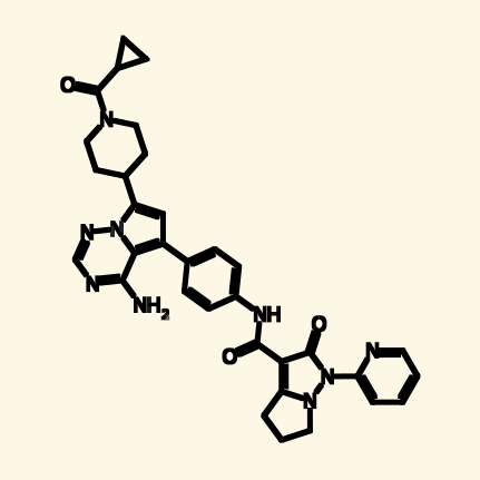 Nc1ncnn2c(C3CCN(C(=O)C4CC4)CC3)cc(-c3ccc(NC(=O)c4c5n(n(-c6ccccn6)c4=O)CCC5)cc3)c12